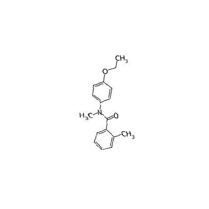 CCOc1ccc(N(C)C(=O)c2ccccc2C)cc1